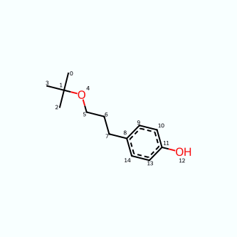 CC(C)(C)OCCCc1ccc(O)cc1